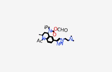 CC(=O)N1c2ccc(-c3cn(CCN(C)C)nn3)cc2[C@H](N(C(=O)OC=O)C(C)C)C[C@@H]1C